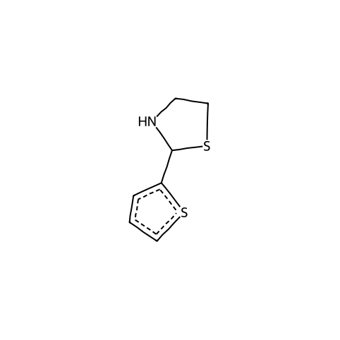 c1csc(C2NCCS2)c1